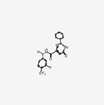 CC(C)C(NC(=O)c1cc(=O)[nH]c(-c2ccccc2)n1)c1ccc(C(F)(F)F)c(F)c1